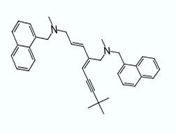 CN(C/C=C/C(=C/C#CC(C)(C)C)CN(C)Cc1cccc2ccccc12)Cc1cccc2ccccc12